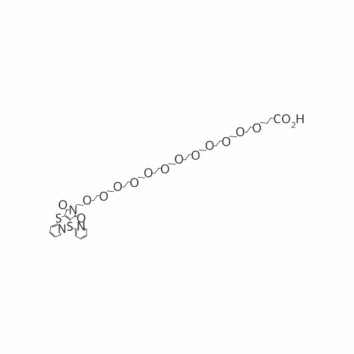 O=C(O)CCCOCCOCCOCCOCCOCCOCCOCCOCCOCCOCCOCCOCCN1C(=O)C(Sc2ccccn2)=C(Sc2ccccn2)C1=O